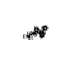 CCN(CC)CCNC(=O)c1cnccc1Nc1nc(-c2ccccn2)nn2cccc12